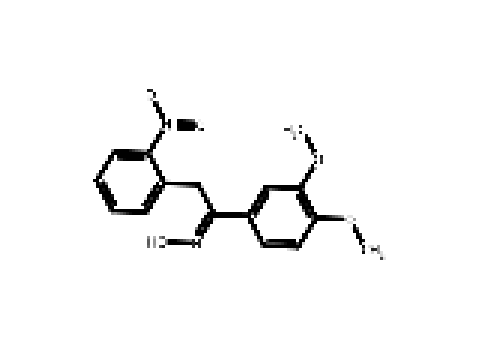 COc1ccc(C(Cc2ccccc2[N+](=O)[O-])=NO)cc1OC